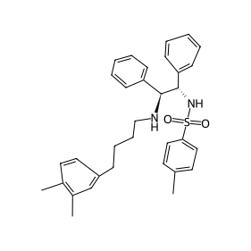 Cc1ccc(S(=O)(=O)N[C@@H](c2ccccc2)[C@@H](NCCCCc2ccc(C)c(C)c2)c2ccccc2)cc1